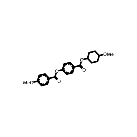 COc1ccc(C(=O)Oc2ccc(C(=O)OC3CCC(OC)CC3)cc2)cc1